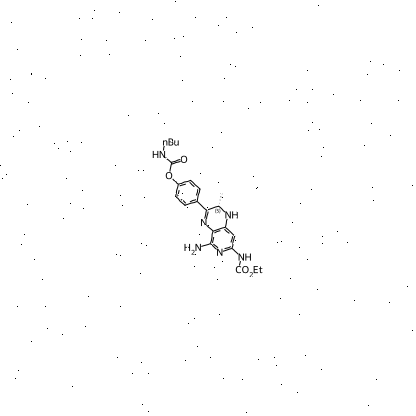 CCCCNC(=O)Oc1ccc(C2=Nc3c(cc(NC(=O)OCC)nc3N)N[C@H]2C)cc1